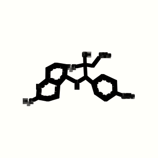 COc1ccc(C(Nc2cccc3nc(C)ccc23)C(O)(CSC)C(F)(F)F)cc1